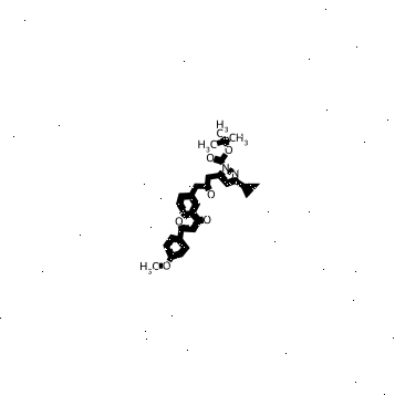 COc1ccc(-c2cc(=O)c3cc(CC(=O)Cc4cc(C5CC5)nn4C(=O)OC(C)(C)C)ccc3o2)cc1